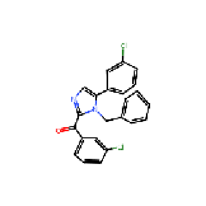 O=C(c1cccc(Cl)c1)c1ncc(-c2cccc(Cl)c2)n1Cc1ccccc1